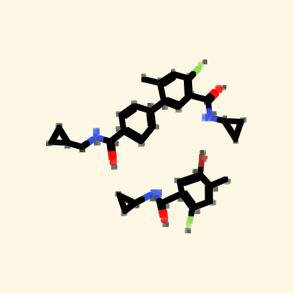 Cc1cc(F)c(C(=O)NC2CC2)cc1-c1ccc(C(=O)NCC2CC2)cc1.Cc1cc(F)c(C(=O)NC2CC2)cc1Br